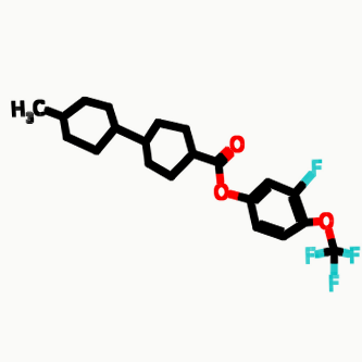 CC1CCC(C2CCC(C(=O)Oc3ccc(OC(F)(F)F)c(F)c3)CC2)CC1